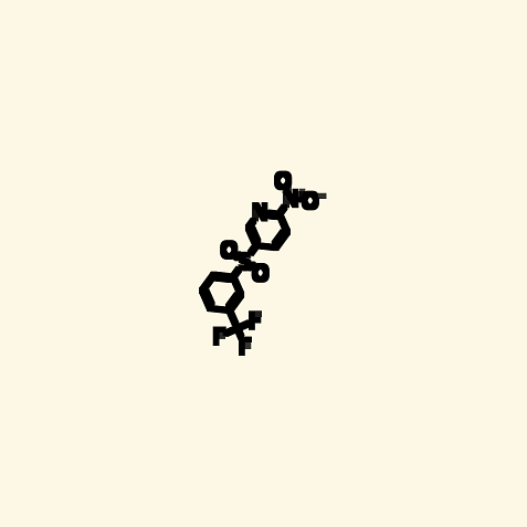 O=[N+]([O-])c1ccc(S(=O)(=O)c2cccc(C(F)(F)F)c2)cn1